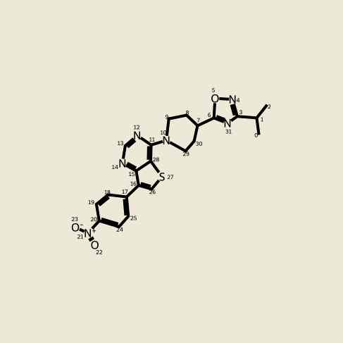 CC(C)c1noc(C2CCN(c3ncnc4c(-c5ccc([N+](=O)[O-])cc5)csc34)CC2)n1